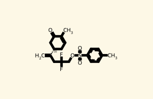 C=C(CC(F)(F)COS(=O)(=O)c1ccc(C)cc1)[C@H]1CC=C(C)C(=O)C1